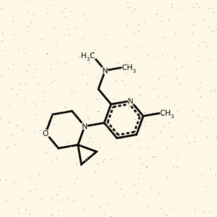 Cc1ccc(N2CCOCC23CC3)c(CN(C)C)n1